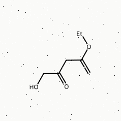 C=C(CC(=O)CO)OCC